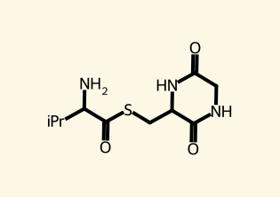 CC(C)C(N)C(=O)SCC1NC(=O)CNC1=O